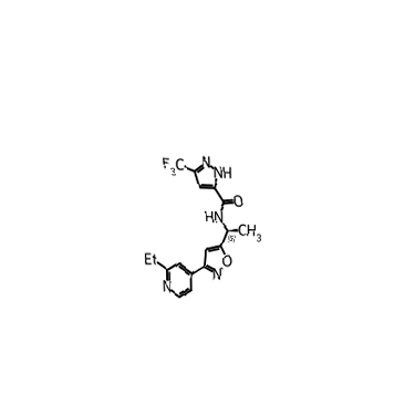 CCc1cc(-c2cc([C@H](C)NC(=O)c3cc(C(F)(F)F)n[nH]3)on2)ccn1